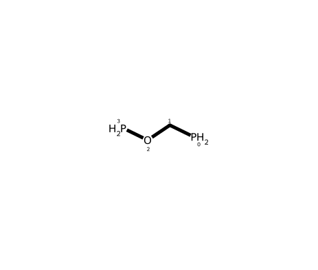 PCOP